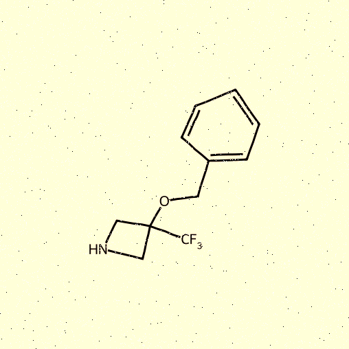 FC(F)(F)C1(OCc2ccccc2)CNC1